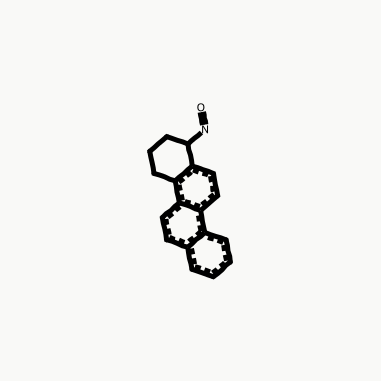 O=NC1CCCc2c1ccc1c2ccc2ccccc21